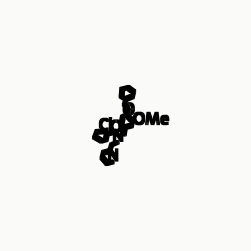 COc1cc(CN(CCc2ccccn2)C(=O)c2ccccc2Cl)ccc1OCc1ccccc1